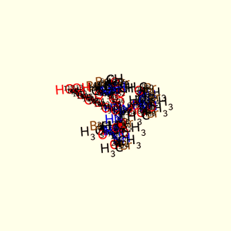 CC(C)(Br)C(=O)NCC(CNC(=O)C(C)(C)Br)(CNC(=O)C(C)(C)Br)COCC(=O)NCC(CNC(=O)COCC(CNC(=O)C(C)(C)Br)(CNC(=O)C(C)(C)Br)CNC(=O)C(C)(C)Br)(CNC(=O)COCC(CNC(=O)C(C)(C)Br)(CNC(=O)C(C)(C)Br)CNC(=O)C(C)(C)Br)COCCOCCOCCOCCOCC(O)CO